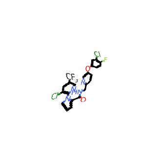 O=C(NCc1ccc(Oc2ccc(F)c(Cl)c2)cn1)c1cccn1-c1ncc(C(F)(F)F)cc1Cl